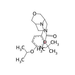 CC(C)Oc1ccc(CN2C3COCC2CN(C(=O)OC(C)(C)C)C3)cn1